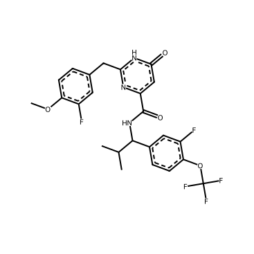 COc1ccc(Cc2nc(C(=O)NC(c3ccc(OC(F)(F)F)c(F)c3)C(C)C)cc(=O)[nH]2)cc1F